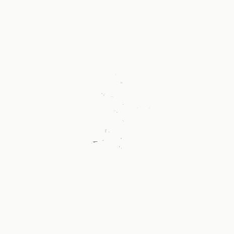 NC(=O)[C@@H](CS)NC(=O)[C@@H](CCS)NC(=O)[C@H](N)CS